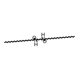 CCCCCCCCCCCCCCCCCCCCCC(=O)NCCCCNC(=O)CCCCCCCCCCCCCCCCCCCCC